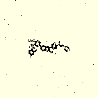 COc1ncc(-c2ccc3nc(N)c(-c4ccc(NCCN5CCOCC5)nc4)cc3c2)cc1NS(=O)(=O)c1ccc(F)cc1F